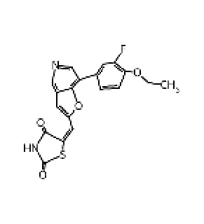 CCOc1ccc(-c2cncc3cc(/C=C4/SC(=O)NC4=O)oc23)cc1F